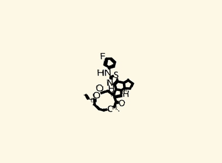 CC[C@H]1CCCC[C@@H](C)C(=O)C2=CC3C(c4nc(Nc5cccc(F)c5)sc4C4CCC[C@H]43)[C@@H]2CC(=O)O1